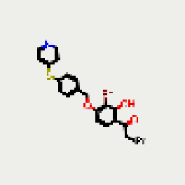 CC(C)CC(=O)c1ccc(OCc2ccc(Sc3ccncc3)cc2)c(Br)c1O